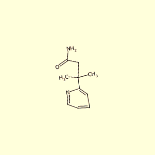 CC(C)(CC(N)=O)c1ccccn1